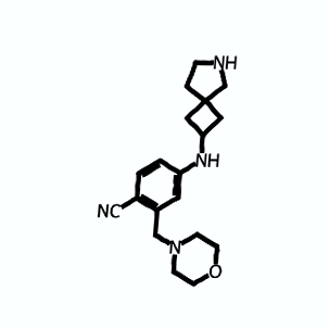 N#Cc1ccc(NC2CC3(CCNC3)C2)cc1CN1CCOCC1